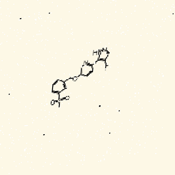 CS(=O)(=O)c1cccc(COc2ccc(-c3[nH]ncc3F)nc2)c1